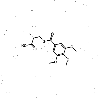 COc1cc(C(=O)SC[C@@H](C)C(=O)O)cc(OC)c1OC